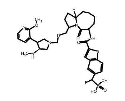 CN[C@@H]1CN(COCC2CC[C@@H]3CCCCC(NC(=O)c4cc5cc(C(F)P(=O)(O)O)ccc5s4)C(=O)N23)CC1c1cccnc1OC